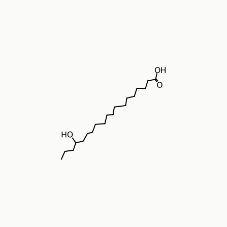 CCCC(O)CCCCCCCCCCCCCCC(=O)O